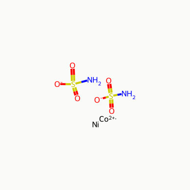 NS(=O)(=O)[O-].NS(=O)(=O)[O-].[Co+2].[Ni]